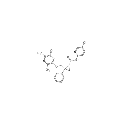 Cc1nn(C)c(=O)cc1OC[C@@]1(c2ccccc2)C[C@H]1C(=O)Nc1ccc(Cl)cn1